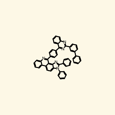 c1ccc(-c2cccc(-c3nc(-c4ccc(-c5nc6ccccc6c6ccc7c(nc(-c8ccccc8)n7-c7ccccc7)c56)cc4)c4ccccc4n3)c2)cc1